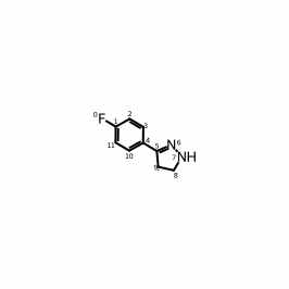 Fc1ccc(C2=NNC[CH]2)cc1